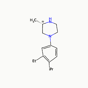 CCc1cc(N2CCN[C@@H](C)C2)ccc1C(C)C